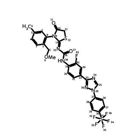 COCc1ccc(C)cc1N1C(=O)CSC1=NC(=O)Nc1ccc(-c2ncn(-c3ccc(S(F)(F)(F)(F)F)cc3)n2)cc1F